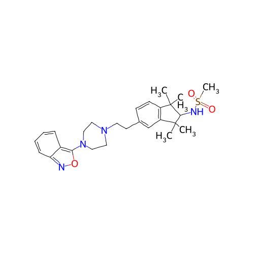 CC1(C)c2ccc(CCN3CCN(c4onc5ccccc45)CC3)cc2C(C)(C)C1NS(C)(=O)=O